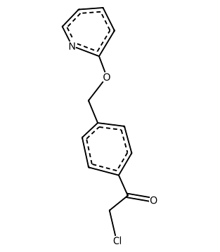 O=C(CCl)c1ccc(COc2ccccn2)cc1